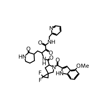 COc1cccc2[nH]c(C(=O)N3CC4(CC3C(=O)NC(CC3CCCNC3=O)C(=O)C(=O)NCc3ccccn3)CC4(F)F)cc12